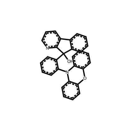 OC1(c2ccccc2N2c3ccccc3Oc3ccccc32)c2ncccc2-c2cccnc21